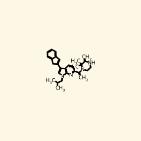 C=C(c1ccc2c(C3=Cc4ccccc4C3)cn(CC(C)C)c2n1)N1CCNC(=C)C1(C)C